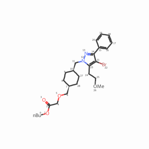 CCCCOC(=O)COC[C@H]1CC[C@@H](Cn2nc(-c3ccccc3)c(Br)c2CCOC)CC1